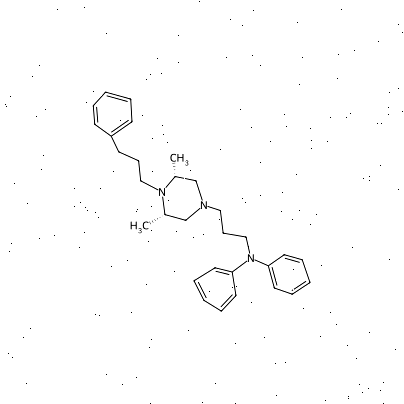 C[C@@H]1CN(CCCN(c2ccccc2)c2ccccc2)C[C@H](C)N1CCCc1ccccc1